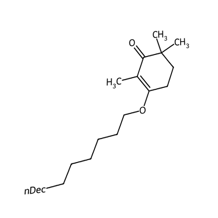 CCCCCCCCCCCCCCCCOC1=C(C)C(=O)C(C)(C)CC1